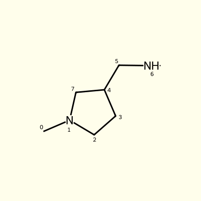 CN1CCC(C[NH])C1